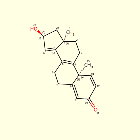 C[C@]12CCC3=C(CCC4=CC(=O)C=C[C@@]43C)C1=C[C@@H](O)C2